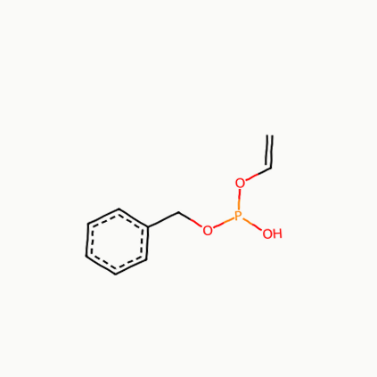 C=COP(O)OCc1ccccc1